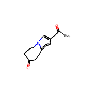 COC(=O)c1cc2n(c1)CCC(=O)C2